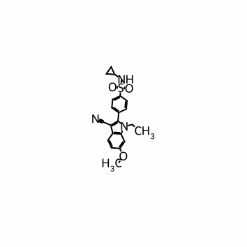 CCn1c(-c2ccc(S(=O)(=O)NC3CC3)cc2)c(C#N)c2ccc(OC)cc21